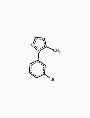 Cc1c[c]nn1-c1cccc(Br)c1